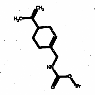 C=C(C)C1CC=C(CNC(=O)OC(C)C)CC1